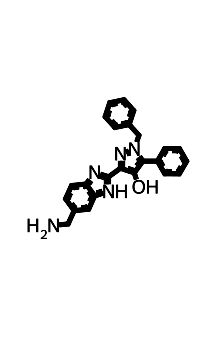 NCc1ccc2nc(-c3nn(Cc4ccccc4)c(-c4ccccc4)c3O)[nH]c2c1